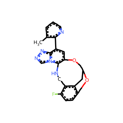 Cc1cccnc1-c1cc2c(n3cnnc13)NCc1c(F)ccc3c1CC(CO2)O3